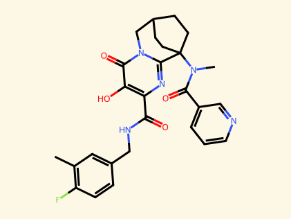 Cc1cc(CNC(=O)c2nc3n(c(=O)c2O)CC2CCC3(N(C)C(=O)c3cccnc3)CC2)ccc1F